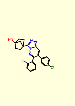 OC12CCC(c3nnc4cc(-c5ccc(Cl)cc5)c(-c5ccccc5Cl)nn34)(CC1)C2